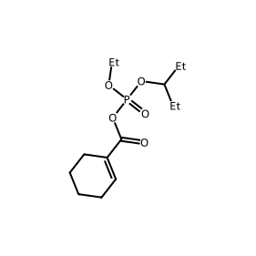 CCOP(=O)(OC(=O)C1=CCCCC1)OC(CC)CC